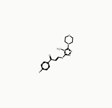 Cn1c(S/C=C/C(=O)c2ccc(F)cc2)nnc1N1CCOCC1